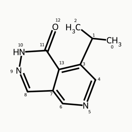 CC(C)c1cncc2cn[nH]c(=O)c12